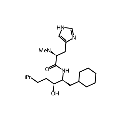 CN[C@@H](Cc1c[nH]cn1)C(=O)N[C@@H](CC1CCCCC1)[C@@H](O)CCC(C)C